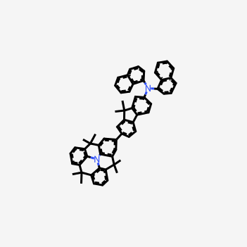 CC1(C)c2cc(-c3cc4c5c(c3)C(C)(C)c3cccc6c3N5c3c(cccc3C4(C)C)C6(C)C)ccc2-c2ccc(N(c3cccc4ccccc34)c3cccc4ccccc34)cc21